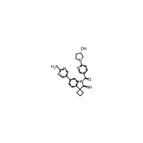 N=C(NC(=O)c1ccc(N2CC[C@H](O)C2)nc1)C1(c2ccc(-c3cnc(N)nc3)cc2)CCC1